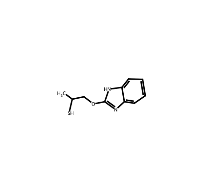 CC(S)COc1nc2ccccc2[nH]1